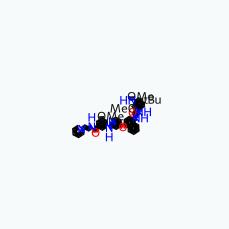 CONc1cc(C(C)(C)C)cc(NC(=O)Nc2ccc(Oc3ccnc(Nc4cc(OC)cc(C(=O)NCCN5CCCCC5)c4)c3)c3ccccc23)c1OC